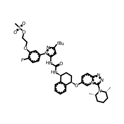 C[C@@H]1CCC[C@H](C)N1c1nnc2ccc(O[C@@H]3CC[C@H](NC(=O)Nc4cc(C(C)(C)C)nn4-c4ccc(F)c(OCCOS(C)(=O)=O)c4)c4ccccc43)cn12